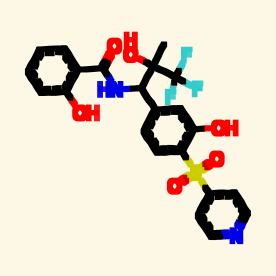 CC(O)(C(NC(=O)c1ccccc1O)c1ccc(S(=O)(=O)c2ccncc2)c(O)c1)C(F)(F)F